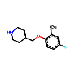 CC(C)(C)c1cc(F)ccc1OCC1CCNCC1